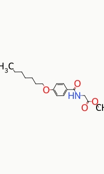 CCCCCCCOc1ccc(C(=O)NCC(=O)OC)cc1